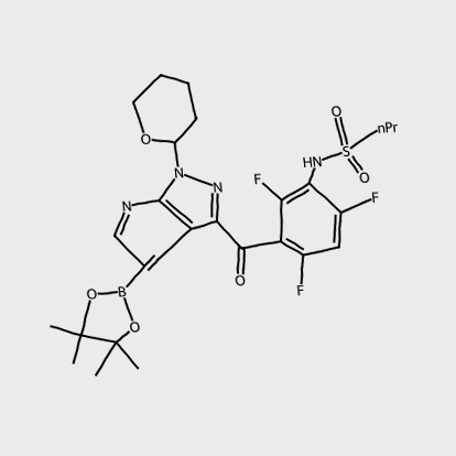 CCCS(=O)(=O)Nc1c(F)cc(F)c(C(=O)c2nn(C3CCCCO3)c3ncc(B4OC(C)(C)C(C)(C)O4)cc23)c1F